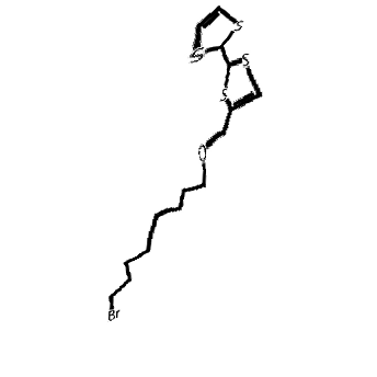 BrCCCCCCCCOCC1=CSC(C2SC=CS2)S1